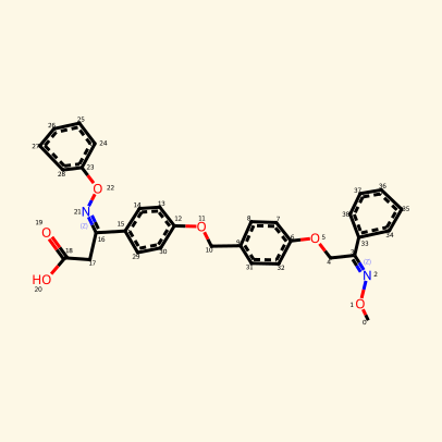 CO/N=C(\COc1ccc(COc2ccc(/C(CC(=O)O)=N\Oc3ccccc3)cc2)cc1)c1ccccc1